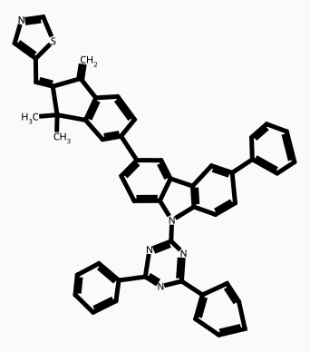 C=C1/C(=C\c2cncs2)C(C)(C)c2cc(-c3ccc4c(c3)c3cc(-c5ccccc5)ccc3n4-c3nc(-c4ccccc4)nc(-c4ccccc4)n3)ccc21